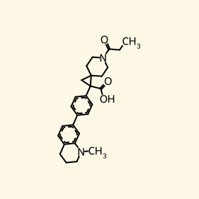 CCC(=O)N1CCC2(CC1)CC2(C(=O)O)c1ccc(-c2ccc3c(c2)N(C)CCC3)cc1